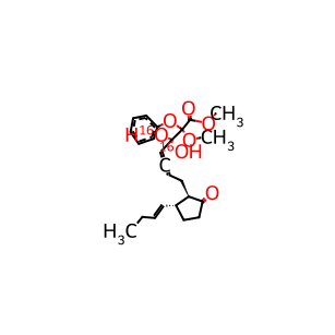 CC/C=C/[C@H]1CCC(=O)[C@@H]1CC=C=CC([16OH])([16OH])C(OC)(Oc1ccccc1)C(=O)OC